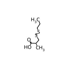 CCCSSC[C@@H](C)C(=O)O